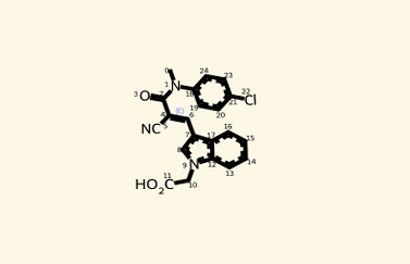 CN(C(=O)/C(C#N)=C/c1cn(CC(=O)O)c2ccccc12)c1ccc(Cl)cc1